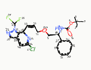 CC(C)(C)OC(=O)N[C@H](COC/C=C\c1nc(Cl)cc2cnn(C(F)F)c12)c1ccccc1